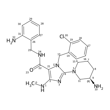 CNc1nc(N2CCC[C@@H](N)C2)n(Cc2ccccc2Cl)c1C(=O)NCc1ccccc1N